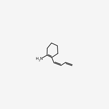 C=C/C=C\C1=C(N)CCCC1